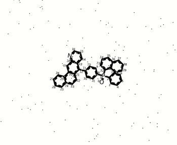 O=P(c1ccccc1)(c1ccc(-c2c3cccnc3cc3c2ccc2ccccc23)cc1)c1cccc2ccccc12